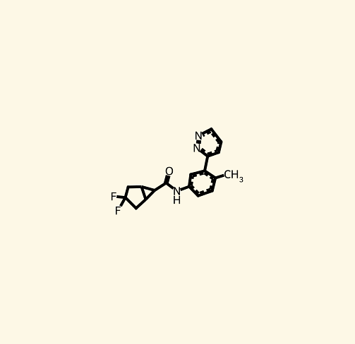 Cc1ccc(NC(=O)C2C3CC(F)(F)CC32)cc1-c1cccnn1